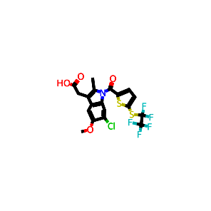 COc1cc2c(CC(=O)O)c(C)n(C(=O)c3ccc(SC(F)(F)C(F)(F)F)s3)c2cc1Cl